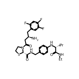 CCNC(=O)[C@H](Nc1ccc(CNC(=O)[C@@H]2SCCN2C(=O)C[C@H](N)Cc2cc(F)c(F)cc2F)cc1)C(C)C